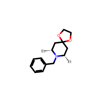 CC[C@@H]1CC2(C[C@H](CC)N1Cc1ccccc1)OCCO2